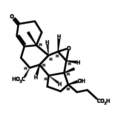 C[C@]12[C@@H](CC[C@@]1(O)CCC(=O)O)[C@H]1[C@H]([C@@H]3O[C@@H]32)[C@@]2(C)CCC(=O)C=C2C[C@H]1C(=O)O